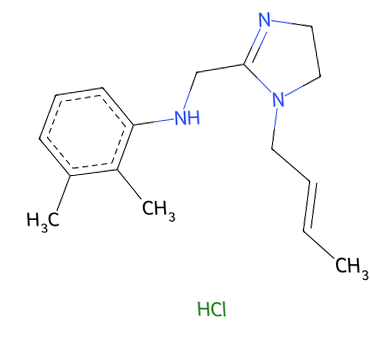 CC=CCN1CCN=C1CNc1cccc(C)c1C.Cl